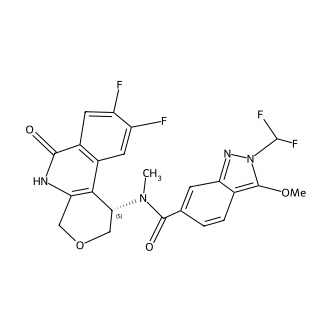 COc1c2ccc(C(=O)N(C)[C@@H]3COCc4[nH]c(=O)c5cc(F)c(F)cc5c43)cc2nn1C(F)F